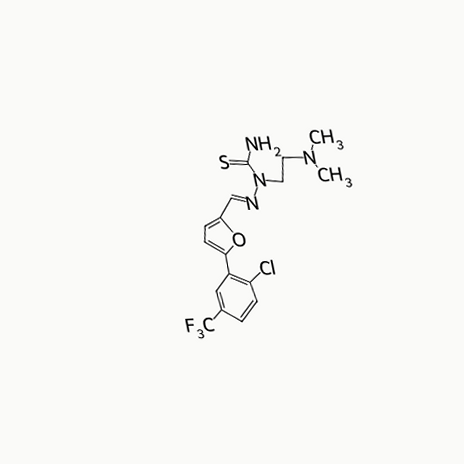 CN(C)CCN(N=Cc1ccc(-c2cc(C(F)(F)F)ccc2Cl)o1)C(N)=S